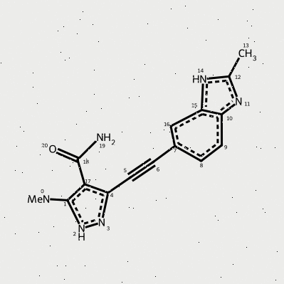 CNc1[nH]nc(C#Cc2ccc3nc(C)[nH]c3c2)c1C(N)=O